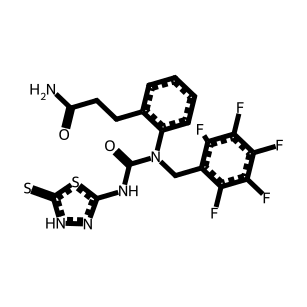 NC(=O)CCc1ccccc1N(Cc1c(F)c(F)c(F)c(F)c1F)C(=O)Nc1n[nH]c(=S)s1